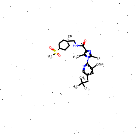 CCc1nc(C(=O)NC[C@]2(C#N)CC[C@@H](S(C)(=O)=O)CC2)c(C)n1-c1ncc(CC(C)(C)C(F)(F)F)cc1OC